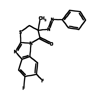 CC1(N=Nc2ccccc2)CSc2nc3cc(F)c(F)cc3n2C1=O